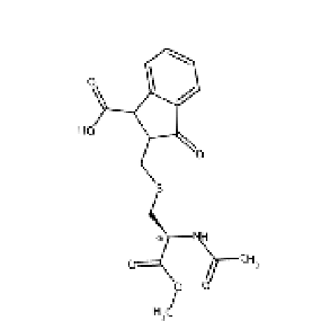 COC(=O)[C@@H](CSCC1C(=O)c2ccccc2C1C(=O)O)NC(C)=O